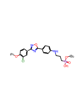 CCC(C)OP(=O)(O)CCCNc1ccc(-c2nc(-c3ccc(OC(C)C)c(Cl)c3)no2)cc1